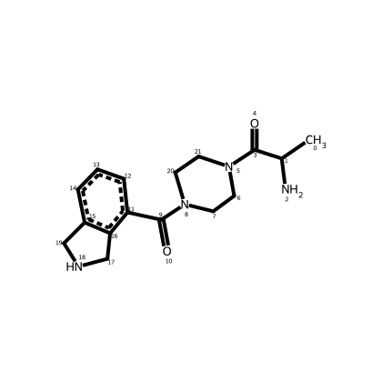 CC(N)C(=O)N1CCN(C(=O)c2cccc3c2CNC3)CC1